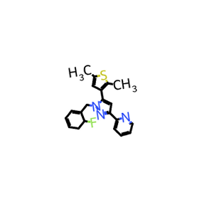 Cc1cc(-c2cc(-c3ccccn3)nn2CC2=CC=CCC2F)c(C)s1